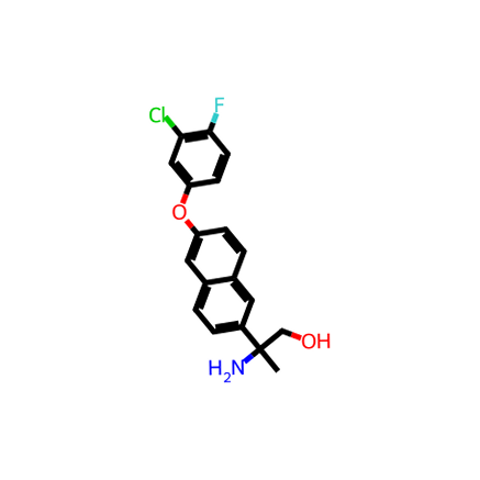 CC(N)(CO)c1ccc2cc(Oc3ccc(F)c(Cl)c3)ccc2c1